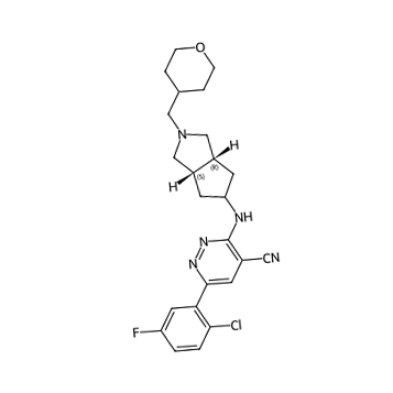 N#Cc1cc(-c2cc(F)ccc2Cl)nnc1NC1C[C@@H]2CN(CC3CCOCC3)C[C@@H]2C1